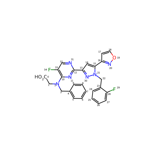 O=C(O)CN(Cc1ccccc1)c1nc(-c2cc(-c3ccon3)n(Cc3ccccc3F)n2)ncc1F